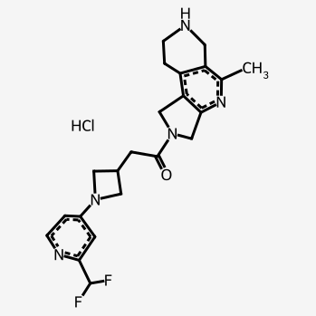 Cc1nc2c(c3c1CNCC3)CN(C(=O)CC1CN(c3ccnc(C(F)F)c3)C1)C2.Cl